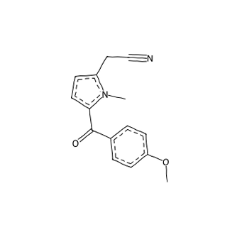 COc1ccc(C(=O)c2ccc(CC#N)n2C)cc1